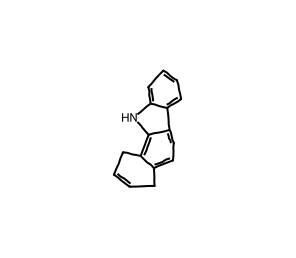 C1=CCc2c(ccc3c2[nH]c2ccccc23)C1